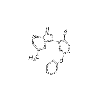 Cc1cnc2[nH]cc(-c3nc(Oc4ccccc4)ncc3C#N)c2c1